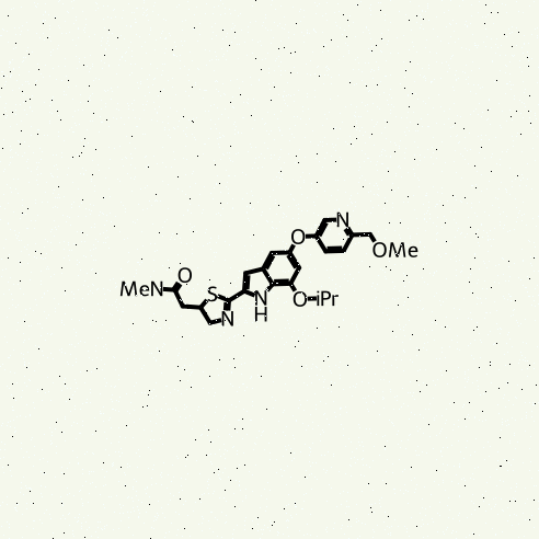 CNC(=O)CC1CN=C(c2cc3cc(Oc4ccc(COC)nc4)cc(OC(C)C)c3[nH]2)S1